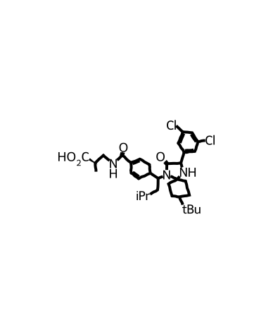 CC(C)CC(C1C=CC(C(=O)NC[C@@H](C)C(=O)O)=CC1)N1C(=O)C(c2cc(Cl)cc(Cl)c2)NC12CCC(C(C)(C)C)CC2